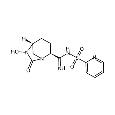 N=C(NS(=O)(=O)c1ccccn1)[C@@H]1CC[C@@H]2CN1C(=O)N2O